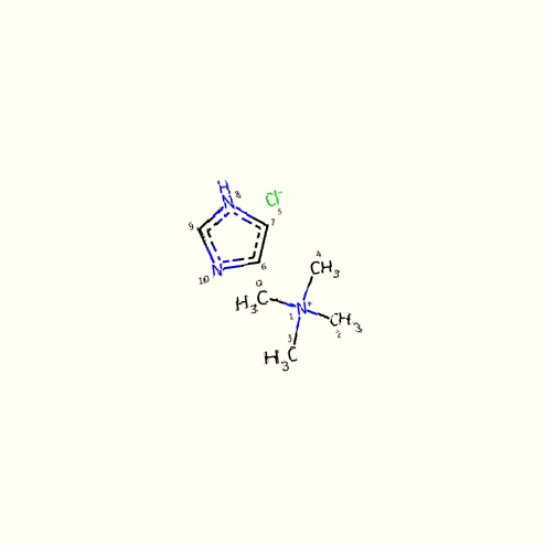 C[N+](C)(C)C.[Cl-].c1c[nH]cn1